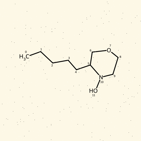 CCCCCC1COCCN1O